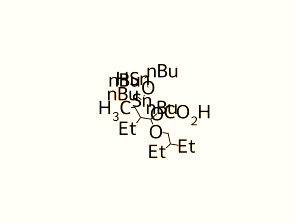 CCC[CH2][SnH]([CH2]CCC)[O][Sn]([CH2]CCC)([CH2]CCC)[CH](C)C(CC)C(OCC(CC)CC)OC(=O)O